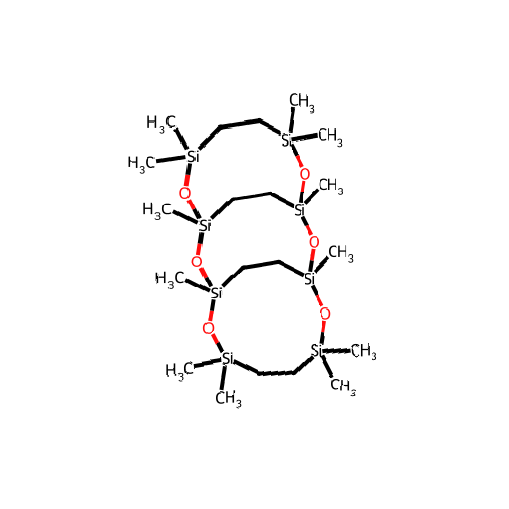 C[Si]1(C)CC[Si](C)(C)O[Si]2(C)CC[Si](C)(O1)O[Si]1(C)CC[Si](C)(O[Si](C)(C)CC[Si](C)(C)O1)O2